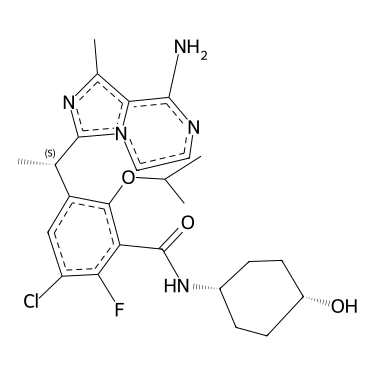 Cc1nc([C@@H](C)c2cc(Cl)c(F)c(C(=O)N[C@H]3CC[C@@H](O)CC3)c2OC(C)C)n2ccnc(N)c12